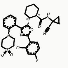 N#CC1(NC(=O)[C@@H]2CCCC[C@H]2c2oc(-c3ccc(F)cc3Cl)nc2-c2ccccc2N2CCS(=O)(=O)CC2)CC1